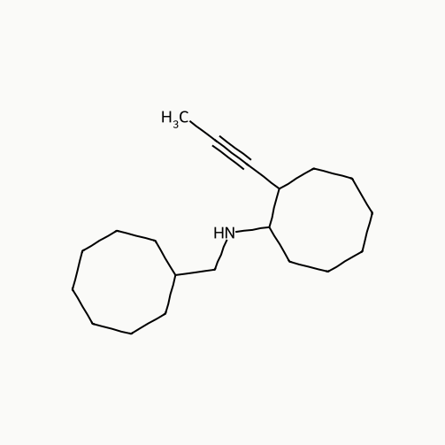 CC#CC1CCCCCCC1NCC1CCCCCCC1